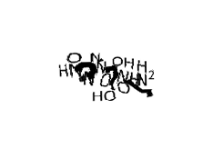 CCCC(N)C(=O)NC1C(O)[C@H](n2cnc3c(=O)[nH]cnc32)O[C@@H]1CO